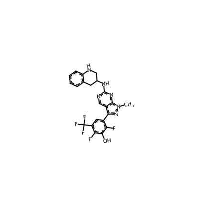 Cn1nc(-c2cc(C(F)(F)F)c(F)c(O)c2F)c2cnc(NC3CNc4ccccc4C3)nc21